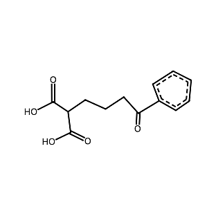 O=C(CCCC(C(=O)O)C(=O)O)c1ccccc1